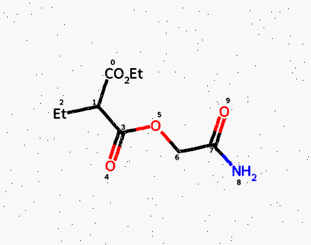 CCOC(=O)C(CC)C(=O)OCC(N)=O